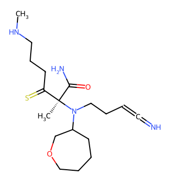 CNCCCC(=S)[C@@](C)(C(N)=O)N(CCC=C=N)C1CCCCOC1